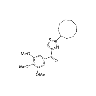 COc1cc(C(=O)c2csc(C3CCCCCCCC3)n2)cc(OC)c1OC